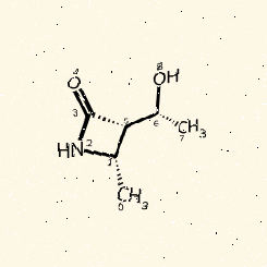 C[C@@H]1NC(=O)[C@@H]1[C@@H](C)O